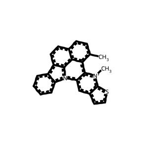 Cc1ccc2ccc3c4ccccc4n4c5cc6ccsc6[n+](C)c5c1c2c34